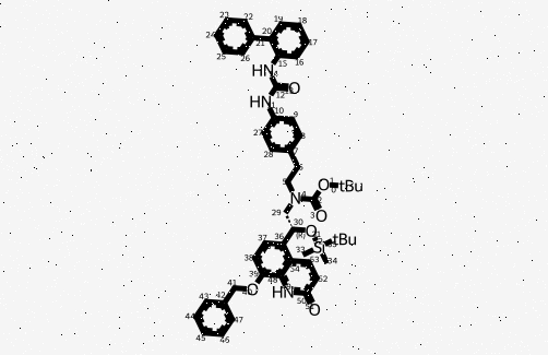 CC(C)(C)OC(=O)N(CCc1ccc(NC(=O)Nc2ccccc2-c2ccccc2)cc1)C[C@H](O[Si](C)(C)C(C)(C)C)c1ccc(OCc2ccccc2)c2[nH]c(=O)ccc12